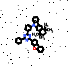 CC1(C)CCC(C)(C)c2cc3c(cc21)c1ccccc1n3-c1cccc(-c2nc(-c3ccccc3)nc(-c3ccc4c(c3)oc3ccccc34)n2)c1